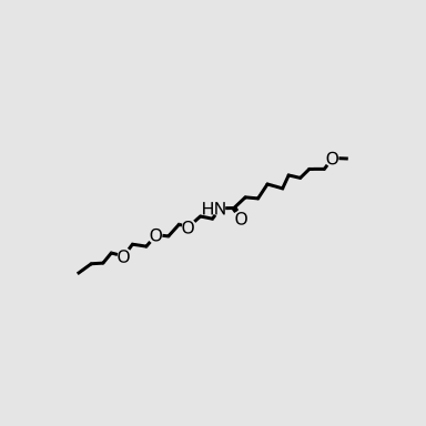 CCCCOCCOCCOCCNC(=O)CCCCCCCCOC